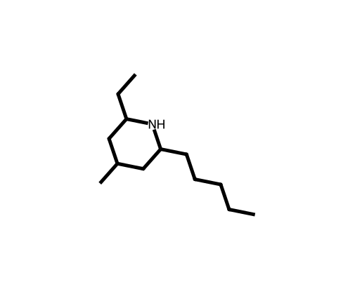 CCCCCC1CC(C)CC(CC)N1